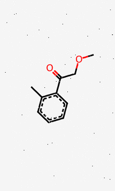 COCC(=O)c1ccccc1C